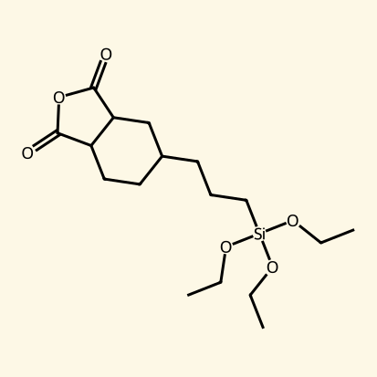 CCO[Si](CCCC1CCC2C(=O)OC(=O)C2C1)(OCC)OCC